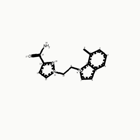 Cc1cccc2ccn(CCn3c[c]c(C(N)=O)n3)c12